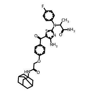 CC(C(N)=O)N(c1ccc(F)cc1)c1nc(N)c(C(=O)c2ccc(OCC(=O)NC34CC5CC(CC(C5)C3)C4)cc2)s1